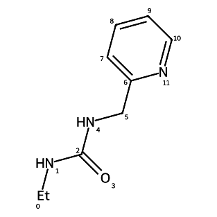 CCNC(=O)NCc1ccccn1